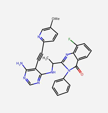 COc1ccc(C#Cc2c(N)ncnc2NC(C)c2nc3c(F)cccc3c(=O)n2-c2ccccc2)nc1